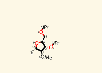 CO[C@@H]1[C@@H](OC(C)C)[C@H](COC(C)C)O[C@H]1C